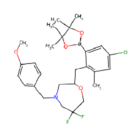 COc1ccc(CN2CC(Cc3c(C)cc(Cl)cc3B3OC(C)(C)C(C)(C)O3)OCC(F)(F)C2)cc1